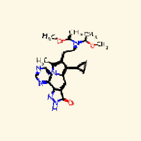 COC(C)N(CCc1c(C)[nH]c(/C=C2/C(=O)NN=C2c2ccncn2)c1C1CC1)C(C)OC